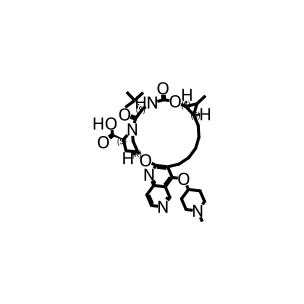 CC1[C@@H]2CCCCCc3c(nc4ccncc4c3OC3CCN(C)CC3)O[C@@H]3C[C@@H](C(=O)O)N(C3)C(=O)[C@H](C(C)(C)C)NC(=O)O[C@@H]12